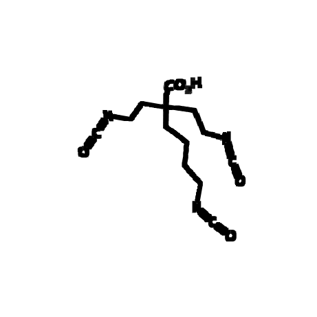 O=C=NCCCCC(CCN=C=O)(CCN=C=O)C(=O)O